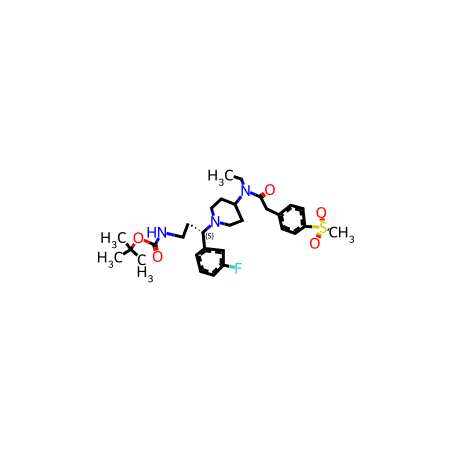 CCN(C(=O)Cc1ccc(S(C)(=O)=O)cc1)C1CCN([C@@H](CCNC(=O)OC(C)(C)C)c2cccc(F)c2)CC1